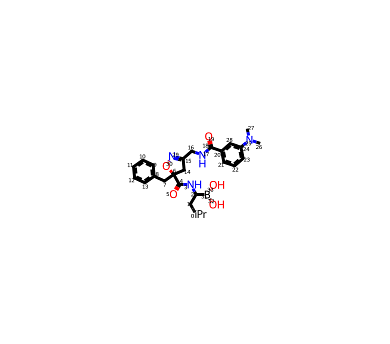 CC(C)CC(NC(=O)C1(Cc2ccccc2)CC(CNC(=O)c2cccc(N(C)C)c2)=NO1)B(O)O